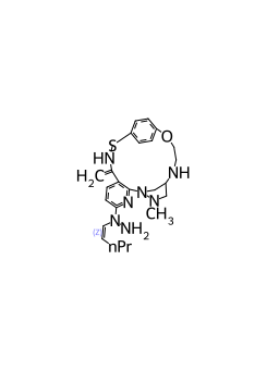 C=C1NSc2ccc(cc2)OCCNC2CN(C)N(C2)c2nc(N(N)/C=C\CCC)ccc21